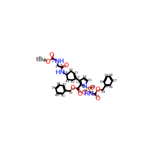 CC(C)(C)OC(=O)NCC(=O)NC1CC=C(c2ccn(S(=O)(=O)NC(=O)OCc3ccccc3)c2C(=O)OCc2ccccc2)CC1